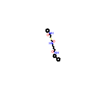 O=C(CSCCC(=O)Nc1ccccc1)NCCCCCC(=O)Nc1cccc(-c2ccccc2)c1